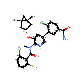 CN(C(=O)c1c(F)cccc1Cl)c1ncc(-c2cc(C(N)=O)ccc2Cl)cc1O[C@@H]1C[C@@H]2C[C@@H]2C1